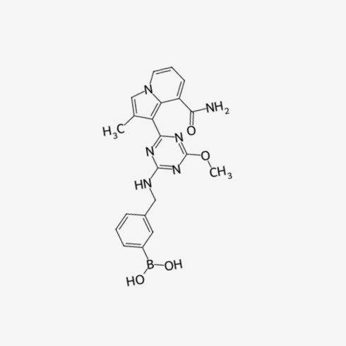 COc1nc(NCc2cccc(B(O)O)c2)nc(-c2c(C)cn3cccc(C(N)=O)c23)n1